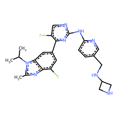 Cc1nc2c(F)cc(-c3nc(Nc4ccc(CNC5CNC5)cn4)ncc3F)cc2n1C(C)C